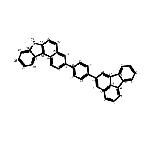 c1ccc2c(c1)-c1cccc3cc(-c4ccc(-c5ccc6c(ccc7sc8ccccc8c76)c5)cc4)cc-2c13